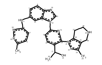 Cc1ccc(Nc2ccc3ncn(-c4ccc(C(C)O)c(-n5nc(C(F)(F)F)c6c5CCNC6)n4)c3c2)nn1